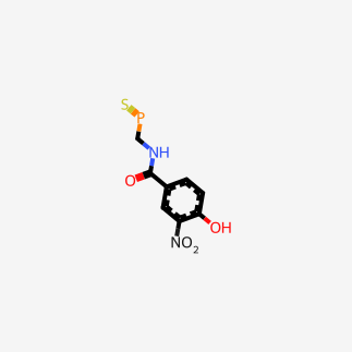 O=C(NCP=S)c1ccc(O)c([N+](=O)[O-])c1